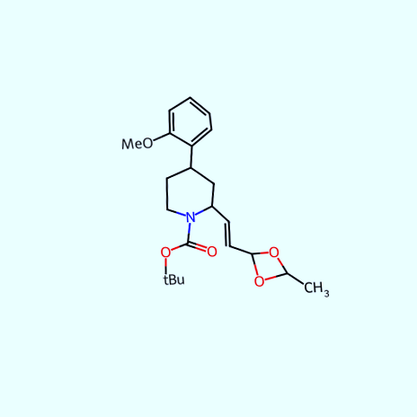 COc1ccccc1C1CCN(C(=O)OC(C)(C)C)C(/C=C/C2OC(C)O2)C1